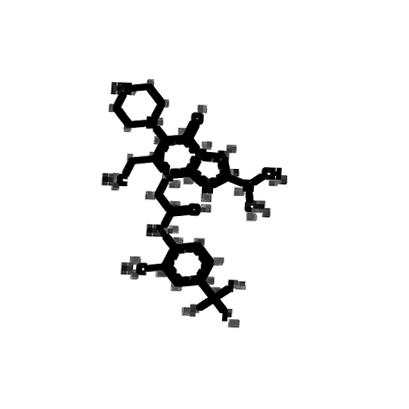 CCc1c(N2CCNCC2)c(=O)n2nc(N(C)C)nc2n1CC(=O)Nc1ccc(C(F)(F)F)cc1C